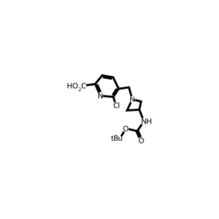 CC(C)(C)OC(=O)NC1CN(Cc2ccc(C(=O)O)nc2Cl)C1